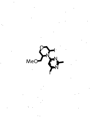 COCC1COCC(I)N1c1cc(I)nc(C)n1